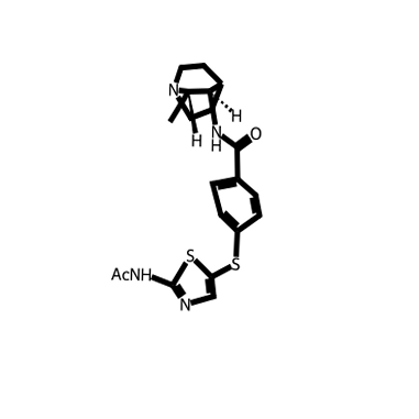 CC(=O)Nc1ncc(Sc2ccc(C(=O)N[C@@H]3C4CCN(CC4)[C@H]3C)cc2)s1